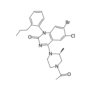 CCCc1ccccc1-n1c(=O)nc(N2CCN(C(C)=O)C[C@@H]2C)c2cc(Cl)c(Br)cc21